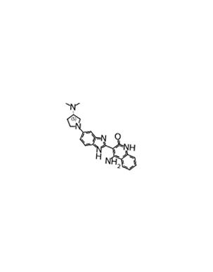 CN(C)[C@H]1CCN(c2ccc3[nH]c(-c4c(N)c5ccccc5[nH]c4=O)nc3c2)C1